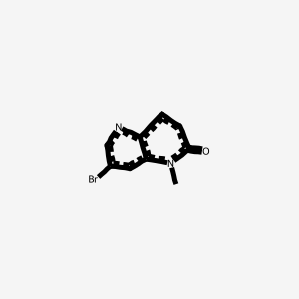 Cn1c(=O)ccc2ncc(Br)cc21